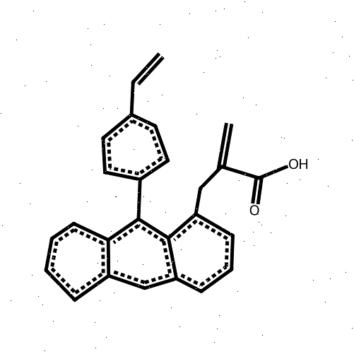 C=Cc1ccc(-c2c3ccccc3cc3cccc(CC(=C)C(=O)O)c23)cc1